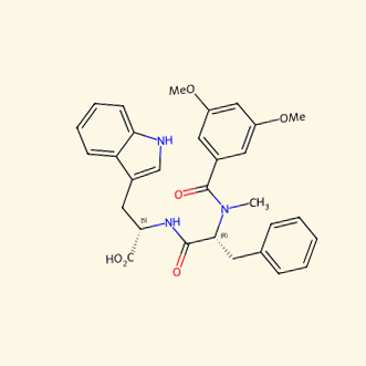 COc1cc(OC)cc(C(=O)N(C)[C@H](Cc2ccccc2)C(=O)N[C@@H](Cc2c[nH]c3ccccc23)C(=O)O)c1